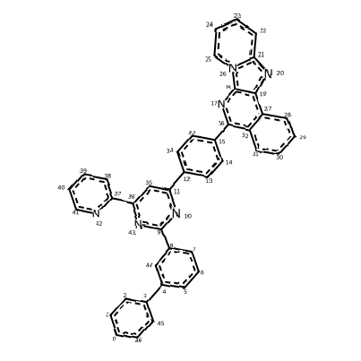 c1ccc(-c2cccc(-c3nc(-c4ccc(-c5nc6c(nc7ccccn76)c6ccccc56)cc4)cc(-c4ccccn4)n3)c2)cc1